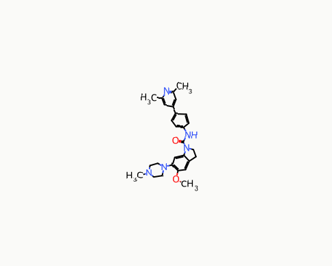 COc1cc2c(cc1N1CCN(C)CC1)N(C(=O)Nc1ccc(-c3cc(C)nc(C)c3)cc1)CC2